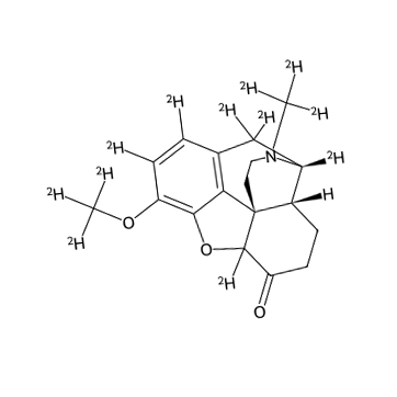 [2H]c1c([2H])c2c3c(c1OC([2H])([2H])[2H])OC1([2H])C(=O)CC[C@@H]4[C@@]31CCN(C([2H])([2H])[2H])[C@]4([2H])C2([2H])[2H]